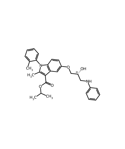 Cc1ccccc1-n1c(C)c(C(=O)OC(C)C)c2cc(OC[C@H](O)CNc3ccccc3)ccc21